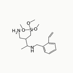 C=Cc1ccccc1CNC(C)C(CN)C[Si](OC)(OC)OC